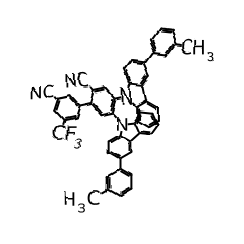 Cc1cccc(-c2ccc3c(c2)c2ccccc2n3-c2cc(C#N)c(-c3cc(C#N)cc(C(F)(F)F)c3)cc2-n2c3ccccc3c3cc(-c4cccc(C)c4)ccc32)c1